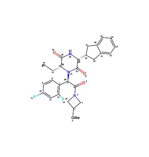 COC1CN(C(=O)[C@@H](c2ccc(F)cc2F)N2C(=O)[C@@H](C3Cc4ccccc4C3)NC(=O)[C@H]2CC(C)C)C1